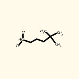 CC(C)(C)CCC[SiH](Cl)Cl